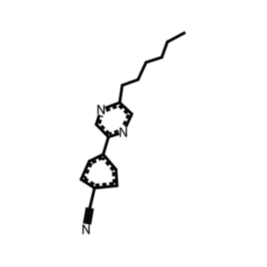 CCCCCCc1cnc(-c2ccc(C#N)cc2)cn1